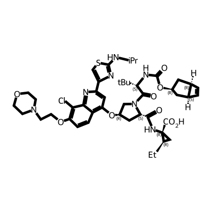 CC[C@@H]1C[C@]1(NC(=O)[C@@H]1C[C@@H](Oc2cc(-c3csc(NC(C)C)n3)nc3c(Cl)c(OCCN4CCOCC4)ccc23)CN1C(=O)[C@@H](NC(=O)O[C@H]1C[C@H]2C=C[C@H]2C1)C(C)(C)C)C(=O)O